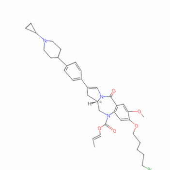 CC=COC(=O)N1C[C@@H]2CC(c3ccc(C4CCN(C5CC5)CC4)cc3)=CN2C(=O)c2cc(OC)c(OCCCCCBr)cc21